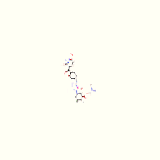 Cc1c(Cl)cc(NC(=O)NCc2ccc3c(C4CCC(=O)NC4=O)coc3c2)cc1OCCN(C)C